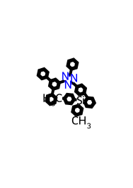 Cc1ccc([Si]2(c3ccc(C)cc3)c3ccccc3-c3ccc(-c4nc(-c5ccccc5)nc(-c5cc(-c6ccccc6)cc(-c6ccccc6)c5)n4)cc32)cc1